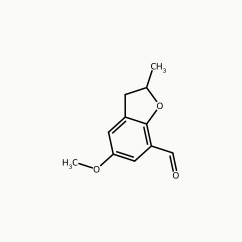 COc1cc(C=O)c2c(c1)CC(C)O2